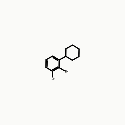 Sc1cccc(C2CCCCC2)c1S